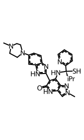 CC(C)[C@@](S)(Nc1c(-c2nc3ccc(N4CCN(C)CC4)cc3[nH]2)c(=O)[nH]c2cn(C)nc12)c1ccccn1